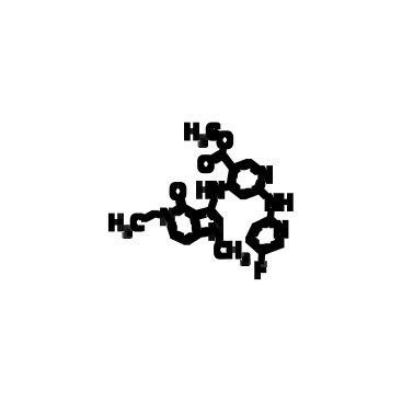 CCn1ccc2c(c(Nc3cc(Nc4ccc(F)cn4)ncc3C(=O)OC)cn2C)c1=O